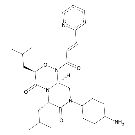 CC(C)C[C@H]1ON(C(=O)/C=C/c2ccccn2)[C@H]2CN(C3CCC(N)CC3)C(=O)[C@H](CC(C)C)N2C1=O